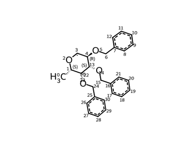 C[C@@H]1O[CH][C@@H](OCc2ccccc2)[C@H](OCc2ccccc2)[C@@H]1OCc1ccccc1